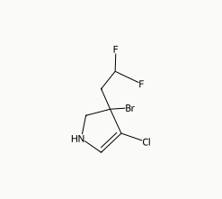 FC(F)CC1(Br)CNC=C1Cl